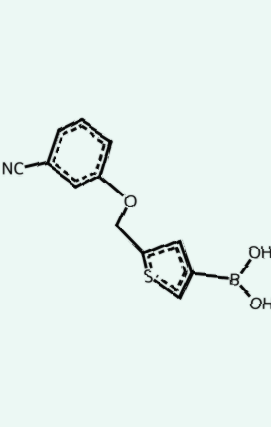 N#Cc1cccc(OCc2cc(B(O)O)cs2)c1